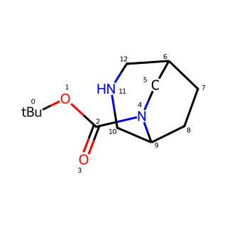 CC(C)(C)OC(=O)N1CC2CCC1CNC2